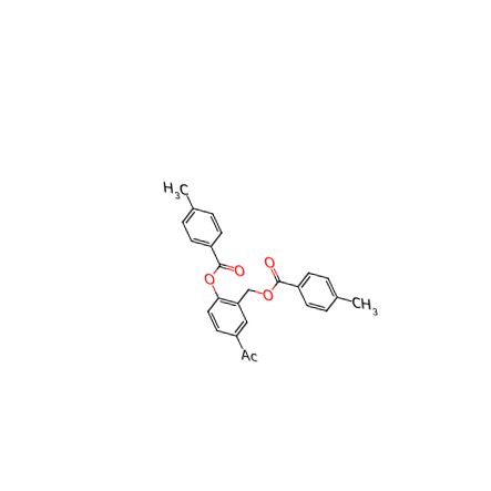 CC(=O)c1ccc(OC(=O)c2ccc(C)cc2)c(COC(=O)c2ccc(C)cc2)c1